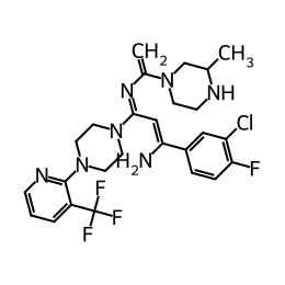 C=C(/N=C(\C=C(/N)c1ccc(F)c(Cl)c1)N1CCN(c2ncccc2C(F)(F)F)CC1)N1CCNC(C)C1